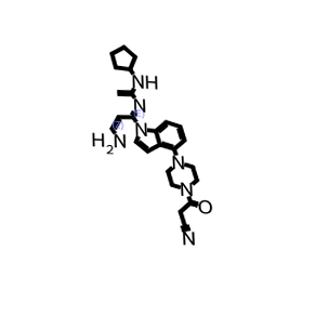 C=C(/N=C(\C=C/N)n1ccc2c(N3CCN(C(=O)CC#N)CC3)cccc21)NC1CCCC1